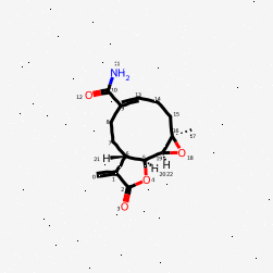 C=C1C(=O)O[C@H]2[C@H]1CC/C(C(N)=O)=C\CC[C@@]1(C)O[C@@H]21